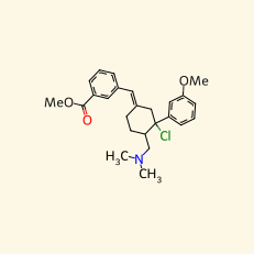 COC(=O)c1cccc(C=C2CCC(CN(C)C)C(Cl)(c3cccc(OC)c3)C2)c1